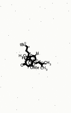 COC1=CC(=O)[C@@H]2[C@](C)(CCCC(C)(C)C)[C@H]3C[C@@]1(CC=C(C)C)[C@@]2(C)O3